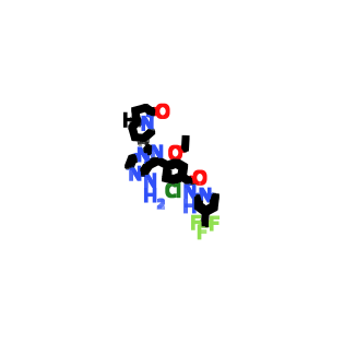 CCOc1cc(C(=O)Nc2cc(C(F)(F)F)ccn2)c(Cl)cc1-c1nc([C@@H]2CC[C@H]3CCC(=O)N3C2)n2ccnc(N)c12